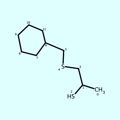 CC(S)CSCC1CCCCC1